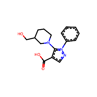 O=C(O)c1cnn(-c2ccccc2)c1N1CCCC(CO)C1